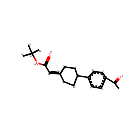 CC(=O)c1ccc(C2CCC(=CC(=O)OC(C)(C)C)CC2)cc1